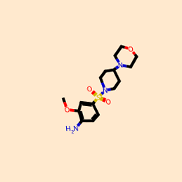 COc1cc(S(=O)(=O)N2CCC(N3CCOCC3)CC2)ccc1N